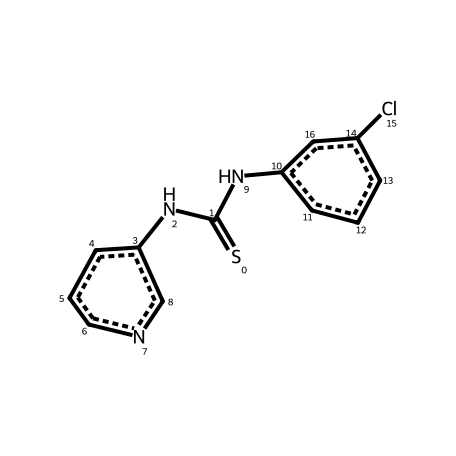 S=C(Nc1cccnc1)Nc1cccc(Cl)c1